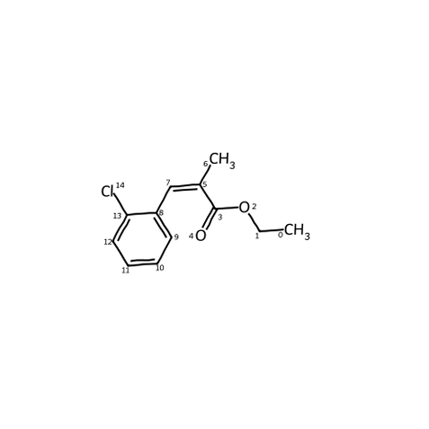 CCOC(=O)C(C)=Cc1ccccc1Cl